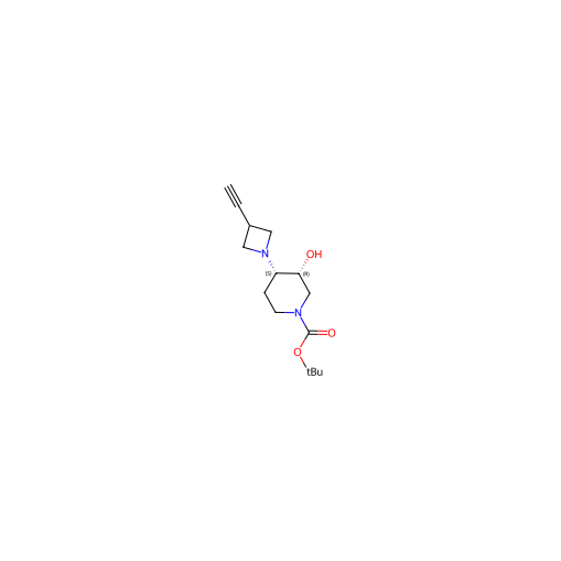 C#CC1CN([C@H]2CCN(C(=O)OC(C)(C)C)C[C@H]2O)C1